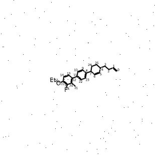 C=CCCC1C=CC(c2ccc(-c3ccc(OCC)c(F)c3C)cc2)CC1